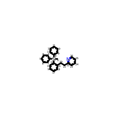 C[Si](c1ccccc1)(c1ccccc1)c1ccccc1CCc1ccccn1